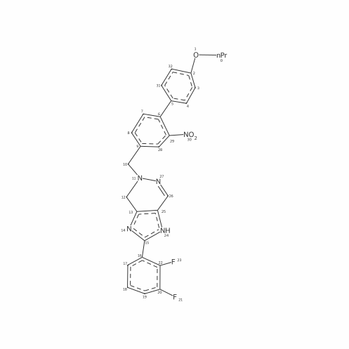 CCCOc1ccc(-c2ccc(CN3Cc4nc(-c5cccc(F)c5F)[nH]c4C=N3)cc2[N+](=O)[O-])cc1